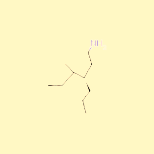 CCC[C@H](CCN)C(C)CC